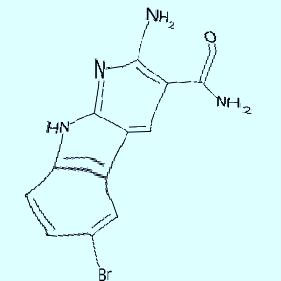 NC(=O)c1cc2c(nc1N)[nH]c1ccc(Br)cc12